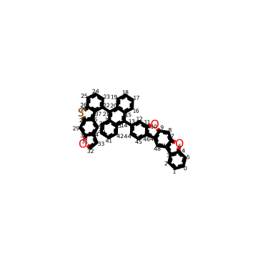 c1ccc2c(c1)oc1cc3oc4cc(-c5c6ccccc6c(-c6cccc7sc8cc9occc9cc8c67)c6ccccc56)ccc4c3cc12